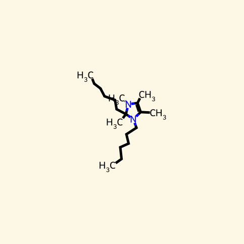 CCCCCCN1C(C)=C(C)N(C)C1(C)CCCCCC